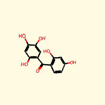 O=C(c1ccc(O)cc1O)c1cc(O)c(O)cc1O